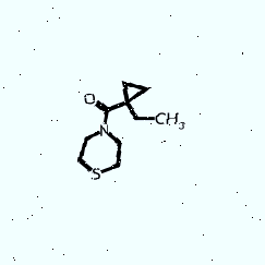 CCC1(C(=O)N2CCSCC2)CC1